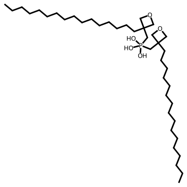 CCCCCCCCCCCCCCCCC1(CP(O)(O)(O)CC2(CCCCCCCCCCCCCCCC)COC2)COC1